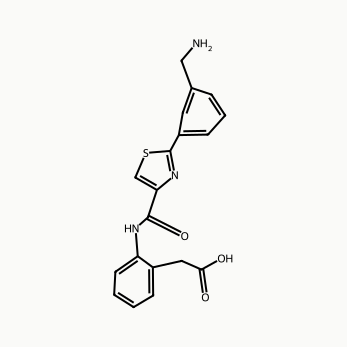 NCc1cccc(-c2nc(C(=O)Nc3ccccc3CC(=O)O)cs2)c1